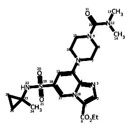 CCOC(=O)c1cnc2c(N3CCN(C(=O)N(C)C)CC3)cc(S(=O)(=O)NC3(C)CC3)cn12